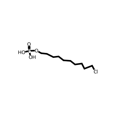 O=P(O)(O)OCCCCCCCCCCCl